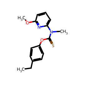 CCc1ccc(OC(=S)N(C)c2cccc(OC)n2)cc1